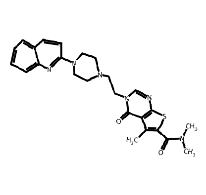 Cc1c(C(=O)N(C)C)sc2ncn(CCN3CCN(c4ccc5ccccc5n4)CC3)c(=O)c12